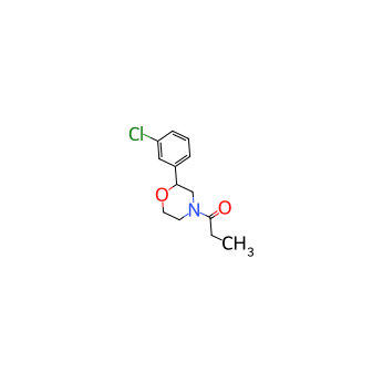 CCC(=O)N1CCOC(c2cccc(Cl)c2)C1